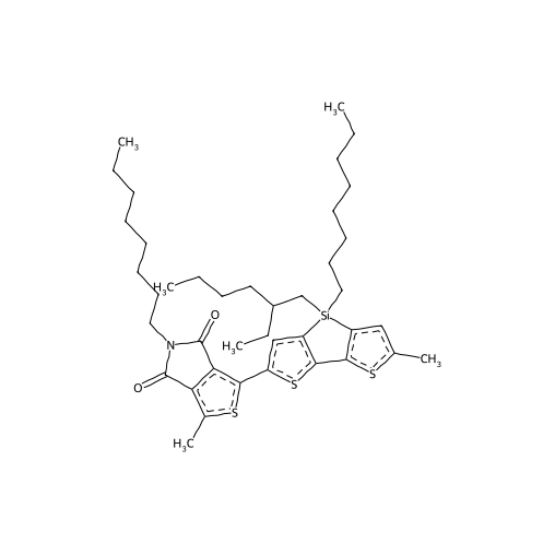 CCCCCCCCN1C(=O)c2c(C)sc(-c3cc4c(s3)-c3sc(C)cc3[Si]4(CCCCCCCC)CC(CC)CCCC)c2C1=O